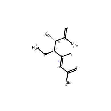 C=C(N)[C@@H](C(C)=O)[C@H](CN)/C(C)=C/C(=C)C(C)(C)C